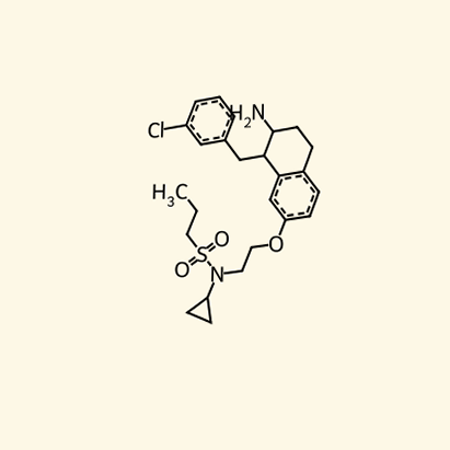 CCCS(=O)(=O)N(CCOc1ccc2c(c1)C(Cc1cccc(Cl)c1)C(N)CC2)C1CC1